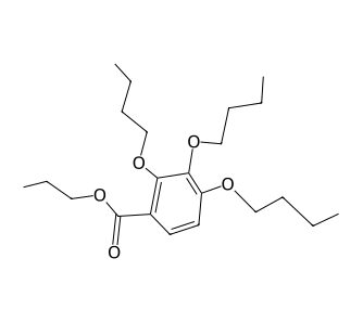 CCCCOc1ccc(C(=O)OCCC)c(OCCCC)c1OCCCC